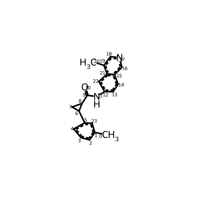 Cc1cccc(C2CC2C(=O)Nc2ccc3cncc(C)c3c2)c1